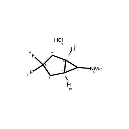 CNC1[C@H]2CC(F)(F)C[C@@H]12.Cl